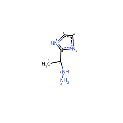 CC(NN)c1ncc[nH]1